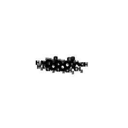 CON(CCO)C(=O)[C@@]1(C)CC[C@]2(C)CC[C@]3(C)C(=CC(=O)[C@@H]4[C@@]5(C)CC[C@H](N)C(C)(C)C5CC[C@]43C)[C@@H]2C1